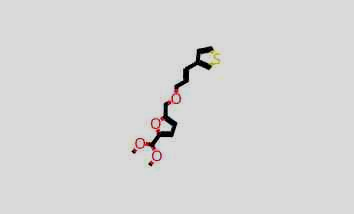 COC(OC)c1ccc(COC/C=C/c2ccsc2)o1